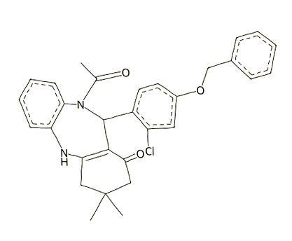 CC(=O)N1c2ccccc2NC2=C(C(=O)CC(C)(C)C2)C1c1ccc(OCc2ccccc2)cc1Cl